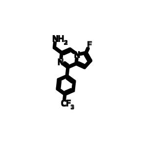 NCc1cn2c(F)ccc2c(-c2ccc(C(F)(F)F)cc2)n1